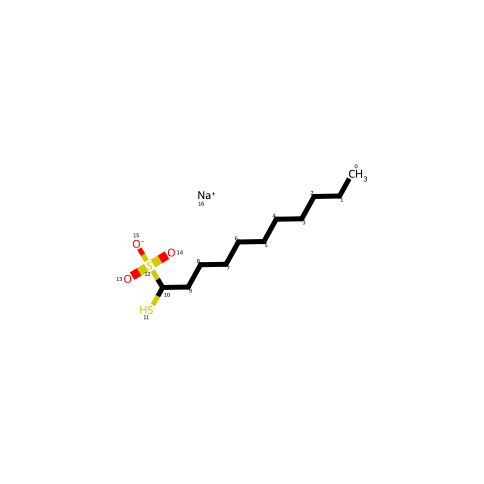 CCCCCCCCCCC(S)S(=O)(=O)[O-].[Na+]